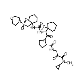 CN(C(=O)C(=O)CNC(=O)[C@@H]1CCCN1C(=O)[C@@H](NC(=O)NC1(CS(=O)(=O)N2CCOCC2)CCCCC1)C1(C)CCCCC1)C1CC1